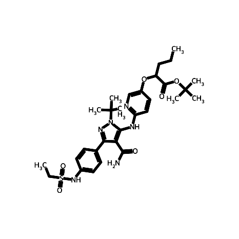 CCCC(Oc1ccc(Nc2c(C(N)=O)c(-c3ccc(NS(=O)(=O)CC)cc3)nn2C(C)(C)C)nc1)C(=O)OC(C)(C)C